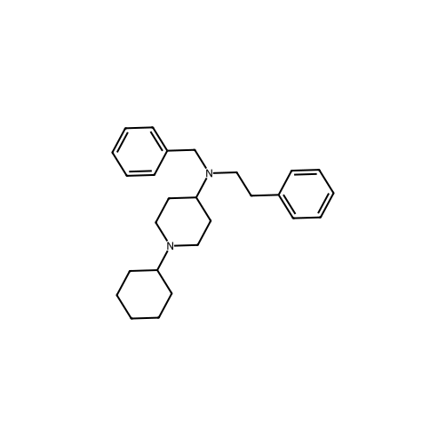 c1ccc(CCN(Cc2ccccc2)C2CCN(C3CCCCC3)CC2)cc1